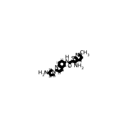 Cc1ccc2c(N)c(C(=O)N[C@H]3CCc4nc(N5CC[C@@H](N)C5)ccc4C3)sc2n1